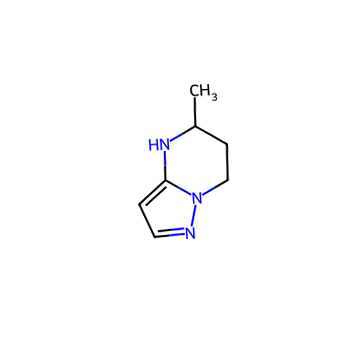 CC1CCn2nccc2N1